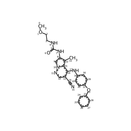 COCCNC(=O)Nc1cn2ncc(C#N)c(Nc3ccc(Oc4ccccc4)cc3)c2c1C